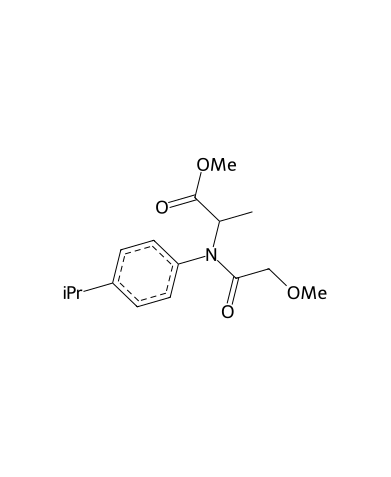 COCC(=O)N(c1ccc(C(C)C)cc1)C(C)C(=O)OC